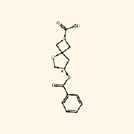 O=C(O[C@H]1COC2(C1)CN(C(=O)O)C2)c1ccccc1